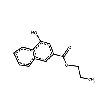 CCCOC(=O)c1cc(O)c2ccccc2c1